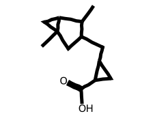 CC1C(CC2CC2C(=O)O)CC2(C)CC12